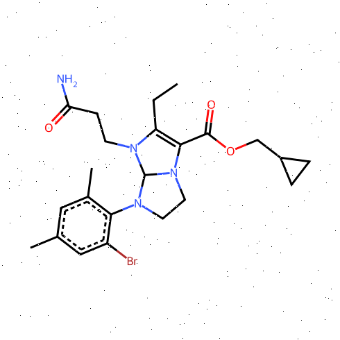 CCC1=C(C(=O)OCC2CC2)N2CCN(c3c(C)cc(C)cc3Br)C2N1CCC(N)=O